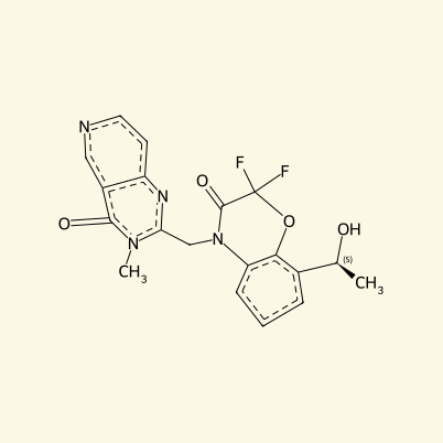 C[C@H](O)c1cccc2c1OC(F)(F)C(=O)N2Cc1nc2ccncc2c(=O)n1C